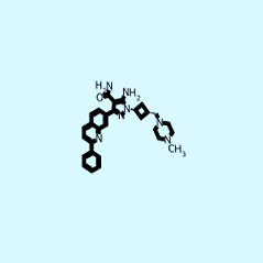 CN1CCN(C[C@H]2C[C@@H](n3nc(-c4ccc5ccc(-c6ccccc6)nc5c4)c(C(N)=O)c3N)C2)CC1